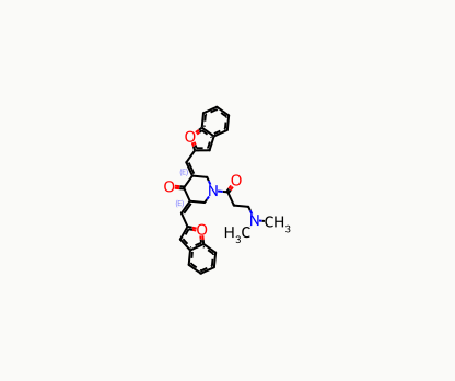 CN(C)CCC(=O)N1C/C(=C\c2cc3ccccc3o2)C(=O)/C(=C/c2cc3ccccc3o2)C1